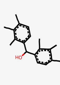 Cc1ccc(C(O)c2ccc(C)c(C)c2C)c(C)c1C